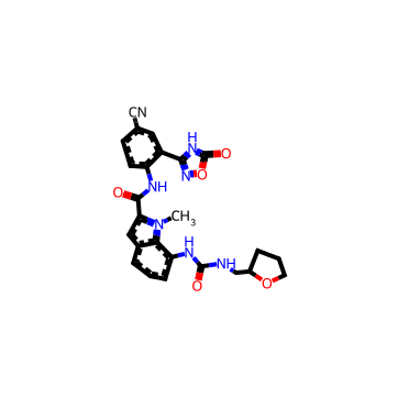 Cn1c(C(=O)Nc2ccc(C#N)cc2-c2noc(=O)[nH]2)cc2cccc(NC(=O)NCC3CCCO3)c21